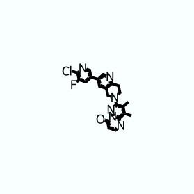 Cc1c(N2CCc3ncc(-c4cnc(Cl)c(F)c4)cc3C2)nn2c(=O)ccnc2c1C